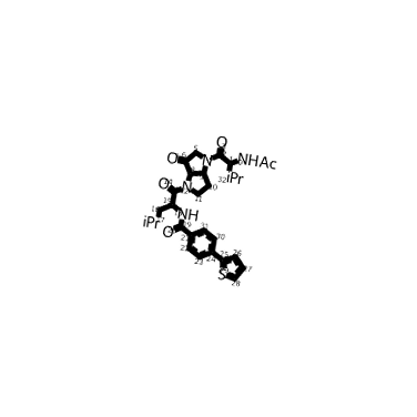 CC(=O)NC(C(=O)N1CC(=O)C2C1CCN2C(=O)C(CC(C)C)NC(=O)c1ccc(-c2cccs2)cc1)C(C)C